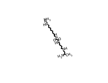 CC(N)CCNCCCCNC(=O)C(=O)NCCCCCCCCNC=NN